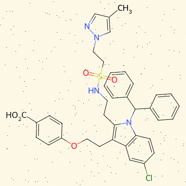 Cc1cnn(CCS(=O)(=O)NCCc2c(CCOc3ccc(C(=O)O)cc3)c3cc(Cl)ccc3n2C(c2ccccc2)c2ccccc2)c1